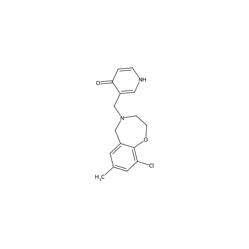 Cc1cc(Cl)c2c(c1)CN(Cc1c[nH]ccc1=O)CCO2